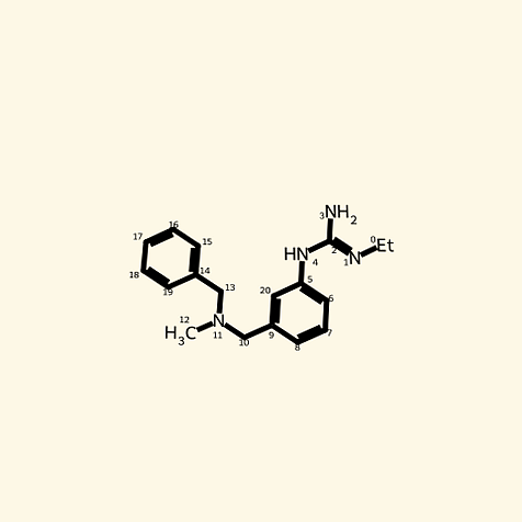 CCN=C(N)Nc1cccc(CN(C)Cc2ccccc2)c1